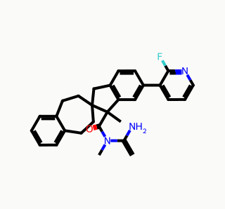 C=C(N)N(C)C(=O)C1(C)c2cc(-c3cccnc3F)ccc2CC12CCc1ccccc1CC2